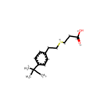 CC(C)(C)c1ccc(CCSCCC(=O)O)cc1